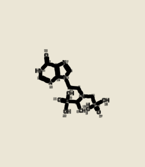 CC(N(CCn1cnc2c(=O)[nH]cnc21)CP(=O)(O)O)P(=O)(O)O